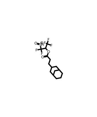 O=C(CCC1CC2CCCC(C2)C1)OC(C(F)(F)F)C(F)(F)[SH](=O)=O